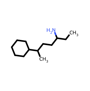 CCC(N)CCC(C)C1CCCCC1